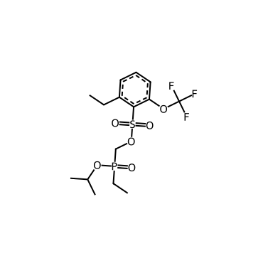 CCc1cccc(OC(F)(F)F)c1S(=O)(=O)OCP(=O)(CC)OC(C)C